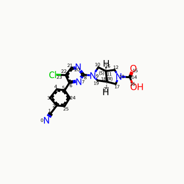 N#Cc1ccc(-c2nc(N3C[C@H]4CN(C(=O)O)C[C@H]4C3)ncc2Cl)cc1